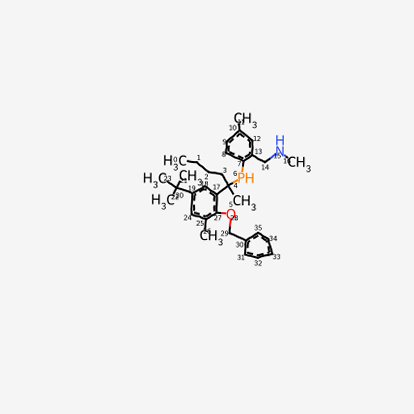 CCCCC(C)(Pc1ccc(C)cc1CNC)c1cc(C(C)(C)C)cc(C)c1OCc1ccccc1